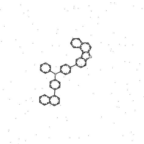 c1ccc(N(c2ccc(-c3ccc4oc5ccc6ccccc6c5c4c3)cc2)c2ccc(-c3cccc4ccccc34)cc2)cc1